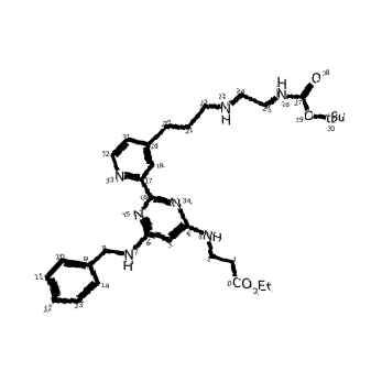 CCOC(=O)CCNc1cc(NCc2ccccc2)nc(-c2cc(CCCNCCNC(=O)OC(C)(C)C)ccn2)n1